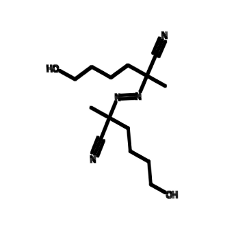 CC(C#N)(CCCCO)N=NC(C)(C#N)CCCCO